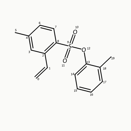 C=Cc1cc(C)ccc1S(=O)(=O)Oc1ccccc1C